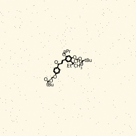 CCCOc1cc(OCOC(=O)C(C)(C)C)c(C(C)(C)CC)cc1C=CC(=O)c1ccc(OCOC(=O)C(C)(C)C)cc1